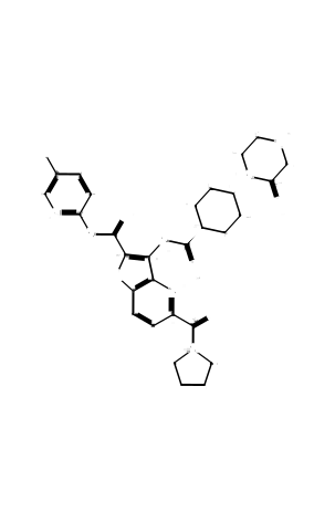 O=C(Nc1ccc(Cl)cn1)c1oc2ccc(C(=O)N3CCCC3)nc2c1NC(=O)[C@H]1CC[C@H](N2CCOCC2=O)CC1